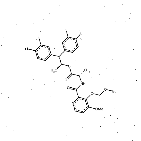 CCOCOc1c(OC)ccnc1C(=O)N[C@@H](C)C(=O)O[C@@H](C)C(c1ccc(Cl)c(F)c1)c1ccc(Cl)c(F)c1